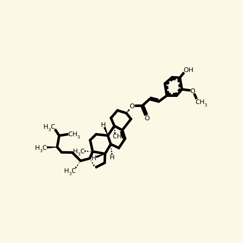 COc1cc(/C=C/C(=O)O[C@H]2CC[C@@]3(C)C(=CC[C@H]4[C@@H]5CC[C@H]([C@H](C)CC[C@@H](C)C(C)C)[C@@]5(C)CC[C@@H]43)C2)ccc1O